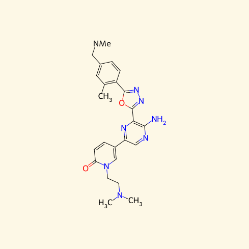 CNCc1ccc(-c2nnc(-c3nc(-c4ccc(=O)n(CCN(C)C)c4)cnc3N)o2)c(C)c1